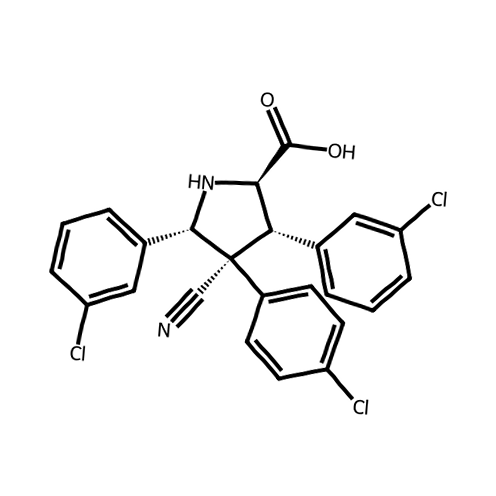 N#C[C@]1(c2ccc(Cl)cc2)[C@H](c2cccc(Cl)c2)N[C@@H](C(=O)O)[C@@H]1c1cccc(Cl)c1